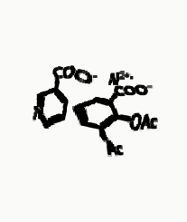 CC(=O)Oc1c(C(C)=O)cccc1C(=O)[O-].O=C([O-])c1cccnc1.[Al+2]